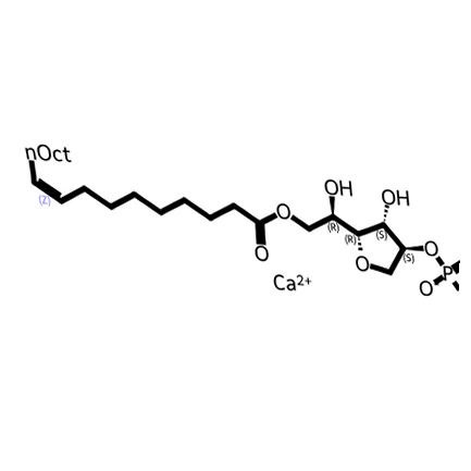 CCCCCCCC/C=C\CCCCCCCC(=O)OC[C@@H](O)[C@H]1OC[C@H](OP(=O)([O-])[O-])[C@H]1O.[Ca+2]